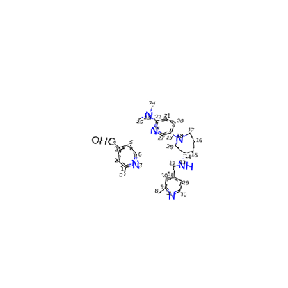 Cc1cc(C=O)ccn1.Cc1cc(CN[C@H]2CCCN(c3ccc(N(C)C)nc3)C2)ccn1